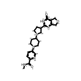 CNC(=O)c1ccc(N2CCC(N3CCC(c4nc5c(c(=O)[nH]4)COC5)C3)CC2)cn1